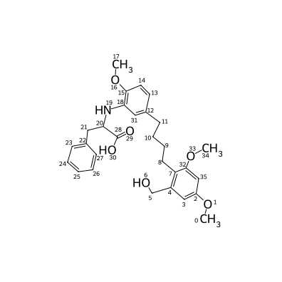 COc1cc(CO)c(CCCCc2ccc(OC)c(NC(Cc3ccccc3)C(=O)O)c2)c(OC)c1